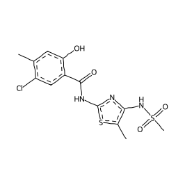 Cc1cc(O)c(C(=O)Nc2nc(NS(C)(=O)=O)c(C)s2)cc1Cl